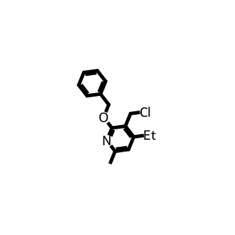 CCc1cc(C)nc(OCc2ccccc2)c1CCl